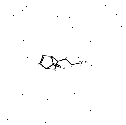 CCOC(=O)CCC1CC2C=CC1C2=O